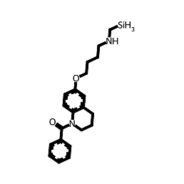 O=C(c1ccccc1)N1CCCc2cc(OCCCCNC[SiH3])ccc21